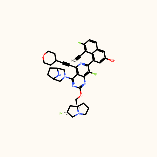 C#Cc1c(F)ccc2cc(O)cc(-c3nc(C#CC4CCOCC4)c4c(N5CC6CCC(C5)N6)nc(OC[C@@]56CCCN5C[C@H](F)C6)nc4c3F)c12